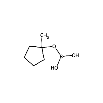 CC1(OB(O)O)CCCC1